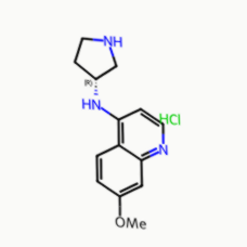 COc1ccc2c(N[C@@H]3CCNC3)ccnc2c1.Cl